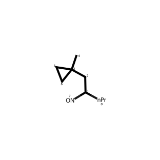 CCCC(CC1(C)CC1)N=O